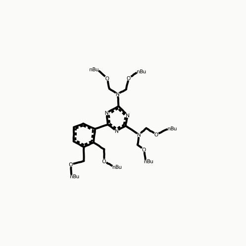 CCCCOCc1cccc(-c2nc(N(COCCCC)COCCCC)nc(N(COCCCC)COCCCC)n2)c1COCCCC